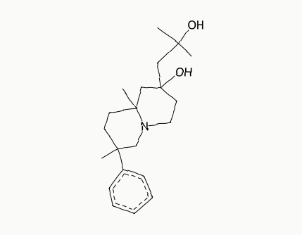 CC(C)(O)CC1(O)CCN2CC(C)(c3ccccc3)CCC2(C)C1